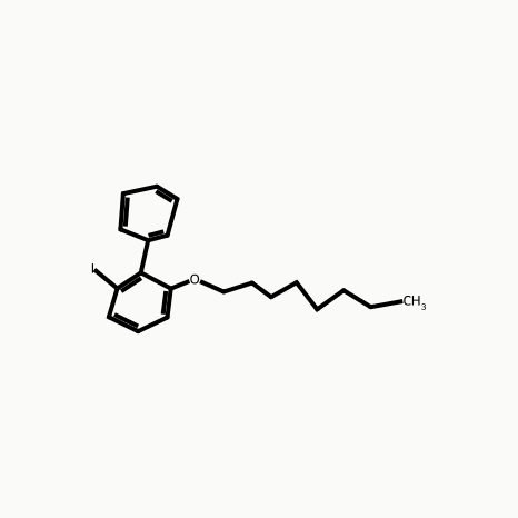 CCCCCCCCOc1cccc(I)c1-c1ccccc1